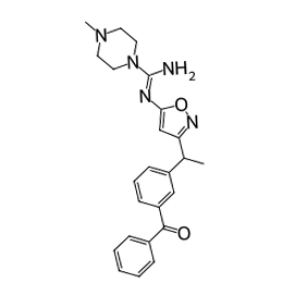 CC(c1cccc(C(=O)c2ccccc2)c1)c1cc(/N=C(\N)N2CCN(C)CC2)on1